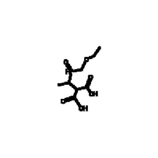 CCOC[PH](=O)C(C)C(C(=O)O)C(=O)O